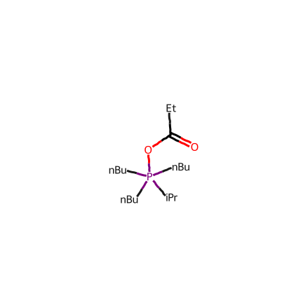 CCCCP(CCCC)(CCCC)(OC(=O)CC)C(C)C